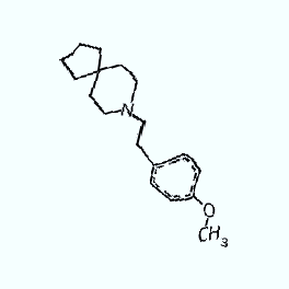 COc1ccc(CCN2CCC3(CCCC3)CC2)cc1